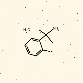 Cc1ccccc1C(C)(C)N.O